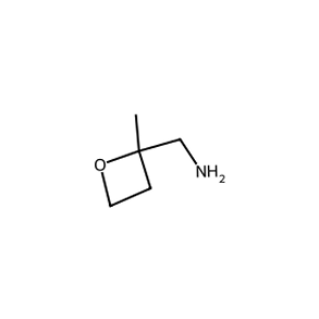 CC1(CN)CCO1